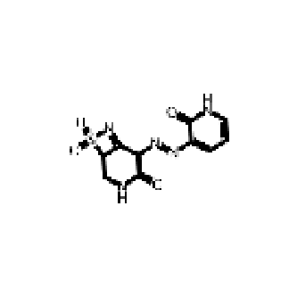 O=C1NCC2C(=NS2(=O)=O)C1N=Nc1ccc[nH]c1=O